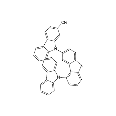 N#Cc1ccc2c3ccccc3n(-c3ccc4sc5cccc(-n6c7ccccc7c7ccccc76)c5c4c3)c2c1